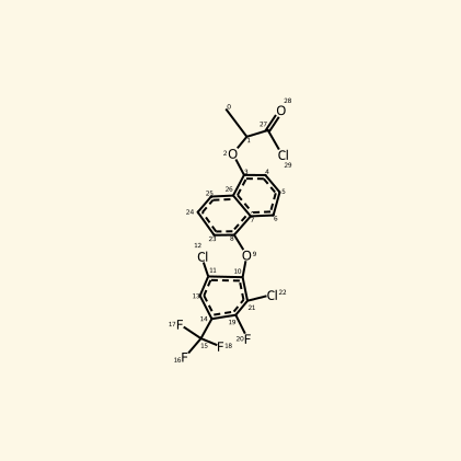 CC(Oc1cccc2c(Oc3c(Cl)cc(C(F)(F)F)c(F)c3Cl)cccc12)C(=O)Cl